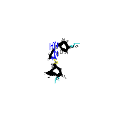 Fc1ccc(CSn2ccc(Nc3ccc(F)cc3)n2)cc1